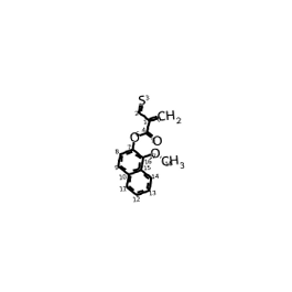 C=C(C=S)C(=O)Oc1ccc2ccccc2c1OC